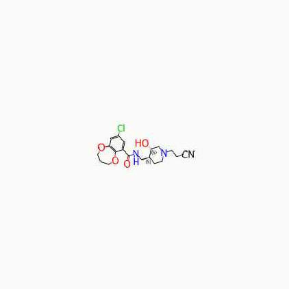 N#CCCN1CC[C@@H](CNC(=O)c2cc(Cl)cc3c2OCCCO3)[C@H](O)C1